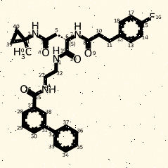 CC1(NC(=O)C[C@H](NC(=O)CCc2ccc(F)cc2)C(=O)NCCNC(=O)c2cccc(-c3ccccc3)c2)CC1